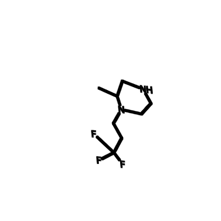 CC1CNCCN1CCC(F)(F)F